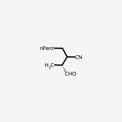 CCCCCCC(C#N)[C@@H](C)C=O